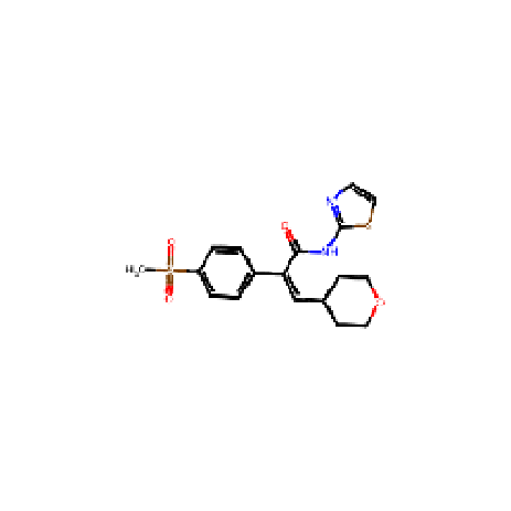 CS(=O)(=O)c1ccc(C(=CC2CCOCC2)C(=O)Nc2nccs2)cc1